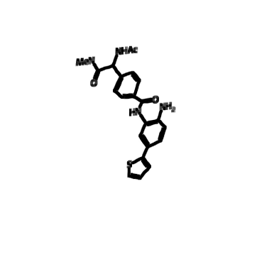 CNC(=O)C(NC(C)=O)c1ccc(C(=O)Nc2cc(-c3cccs3)ccc2N)cc1